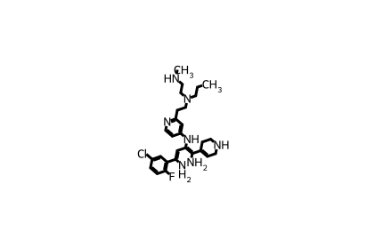 CCCN(CCNC)CCc1cc(NC(/C=C(\N)c2cc(Cl)ccc2F)=C(/N)C2=CCNCC2)ccn1